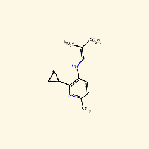 CCOC(=O)C(=CNc1ccc(C)nc1C1CC1)C(=O)OCC